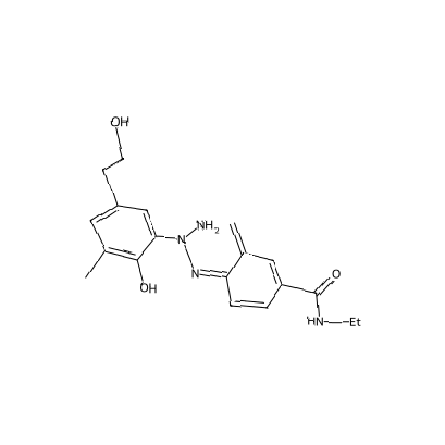 C=C1C=C(C(=O)NCC)C=C/C1=N/N(N)c1cc(CCO)cc(C)c1O